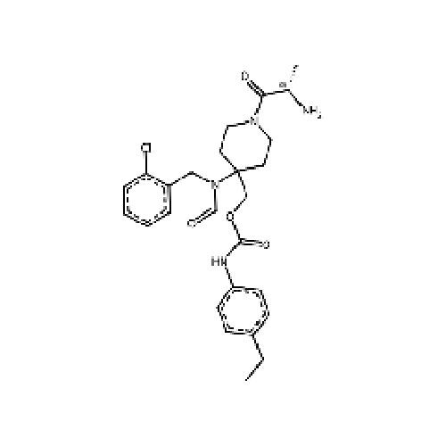 CCc1ccc(NC(=O)OCC2(N(C=O)Cc3ccccc3Cl)CCN(C(=O)[C@H](C)N)CC2)cc1